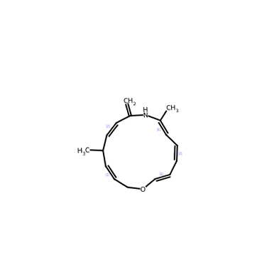 C=C1/C=C\C(C)/C=C\CO/C=C/C=C\C=C(/C)N1